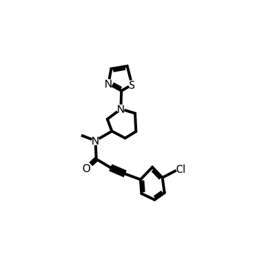 CN(C(=O)C#Cc1cccc(Cl)c1)C1CCCN(c2nccs2)C1